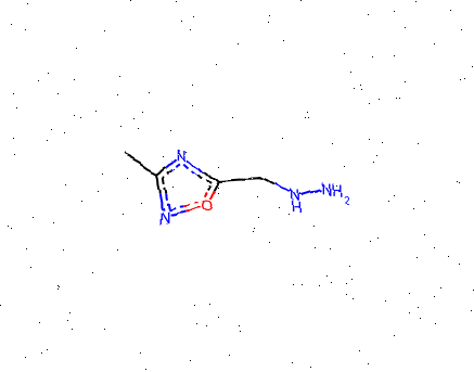 Cc1noc(CNN)n1